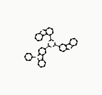 c1ccc(-n2c3ccccc3c3cc(-c4nc(-c5ccc6oc7ccccc7c6c5)nc(-c5cccc6sc7ccccc7c56)n4)ccc32)cc1